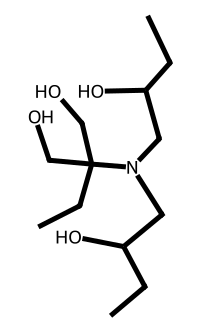 CCC(O)CN(CC(O)CC)C(CC)(CO)CO